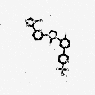 CC(C)n1cnnc1-c1cccc(N2CCN(c3cc(-c4ccc(S(C)(=O)=O)nc4)ccc3F)C2=O)n1